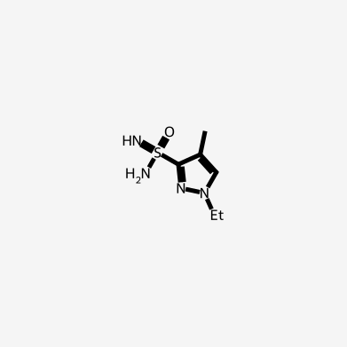 CCn1cc(C)c(S(=N)(N)=O)n1